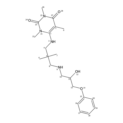 Cc1c(NCC(C)(C)CNCC(O)COc2ccccc2)n(C)c(=O)n(C)c1=O